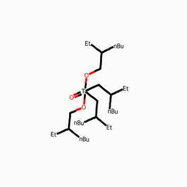 CCCCC(CC)C[O][Ti](=[O])([CH2]C(CC)CCCC)([CH2]C(CC)CCCC)[O]CC(CC)CCCC